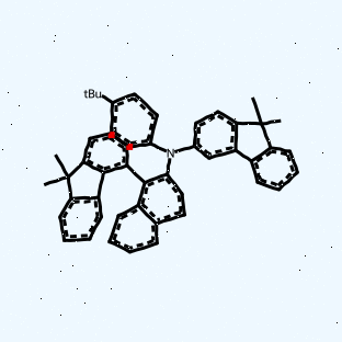 CC(C)(C)c1ccc(N(c2ccc3c(c2)-c2ccccc2C3(C)C)c2ccc3ccccc3c2-c2cccc3c2-c2ccccc2C3(C)C)cc1